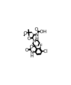 COC(C)(C)C[C@H](NC(=O)O)C(=O)N1CCC[C@@]2(C1)OC(=O)Nc1ccc(Cl)c(F)c12